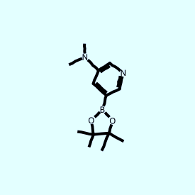 CN(C)c1cncc(B2OC(C)(C)C(C)(C)O2)c1